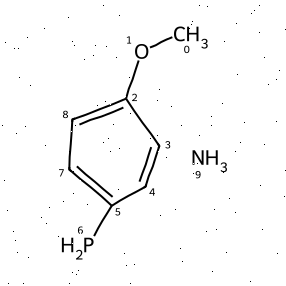 COc1ccc(P)cc1.N